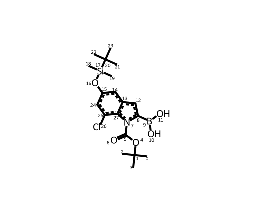 CC(C)(C)OC(=O)n1c(B(O)O)cc2cc(O[Si](C)(C)C(C)(C)C)cc(Cl)c21